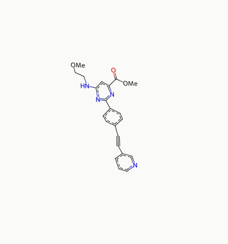 COCCNc1cc(C(=O)OC)nc(-c2ccc(C#Cc3cccnc3)cc2)n1